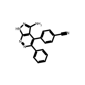 N#Cc1ccc(-c2c(-c3ccccc3)nnc3[nH]nc(N)c23)cc1